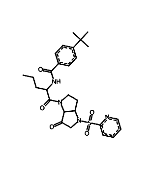 CCCC(NC(=O)c1ccc(C(C)(C)C)cc1)C(=O)N1CCC2C1C(=O)CN2S(=O)(=O)c1ccccn1